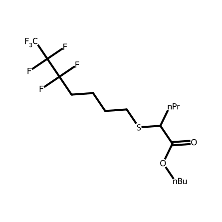 CCCCOC(=O)C(CCC)SCCCCC(F)(F)C(F)(F)C(F)(F)F